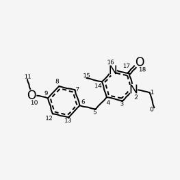 CCn1cc(Cc2ccc(OC)cc2)c(C)nc1=O